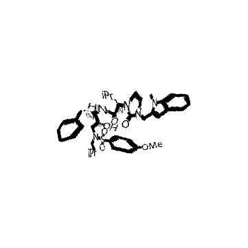 COc1ccc(S(=O)(=O)N(CC(C)C)C[C@H](O)[C@H](Cc2ccccc2)NC(=O)[C@H](C(C)C)N2CCN(Cc3cc4ccccc4n3C)C2=O)cc1